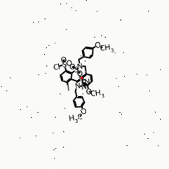 COc1ccc(CN(Cc2ccc(OC)cc2)S(=O)(=O)c2c(S(=O)(=O)Cl)ccc(I)c2-c2nnnn2Cc2ccc(OC)cc2)cc1